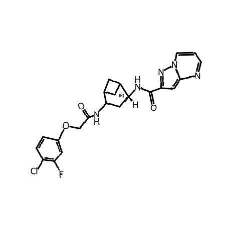 O=C(COc1ccc(Cl)c(F)c1)NC1C[C@@H](NC(=O)c2cc3ncccn3n2)C2CC1C2